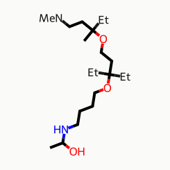 CCC(C)(CCNC)OCCC(CC)(CC)OCCCCNC(C)O